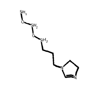 [SiH3]O[SiH2]O[SiH2]CCCN1C=NCC1